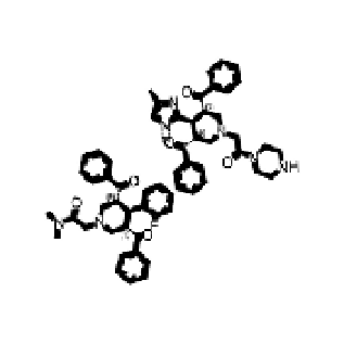 CN(C)C(=O)CN1C[C@H](C(=O)c2ccccc2)C(c2ccccc2F)[C@@H](C(=O)c2ccccc2)C1.Cc1c[nH]c(C2[C@@H](C(=O)c3ccccc3)CN(CC(=O)N3CCNCC3)C[C@@H]2C(=O)c2ccccc2)n1